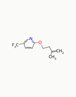 C=C(C)CCOc1ccc(C(F)(F)F)cn1